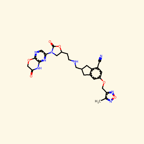 Cc1nonc1COc1cc(C#N)c2c(c1)CC(CNCCC1CN(c3cnc4c(n3)NC(=O)CO4)C(=O)O1)C2